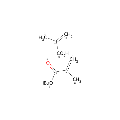 C=C(C)C(=O)O.C=C(C)C(=O)OCC(C)C